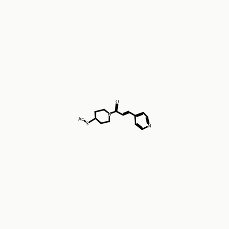 CC(=O)SC1CCN(C(=O)/C=C/c2ccncc2)CC1